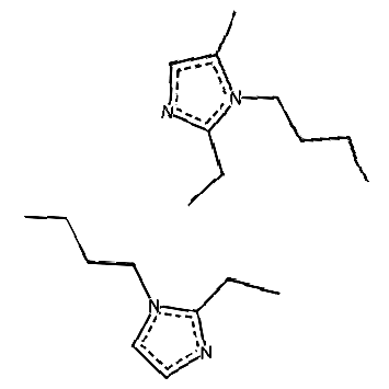 CCCCn1c(C)cnc1CC.CCCCn1ccnc1CC